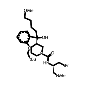 CNC[C@H](CC(C)C)NC(=O)N1CCC[C@@H](C(O)(CCCCOC)c2ccccc2OCC(C)(C)C)C1